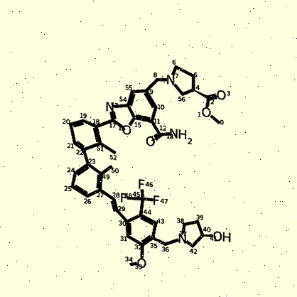 COC(=O)[C@@H]1CCN(Cc2cc(C(N)=O)c3oc(-c4cccc(-c5cccc(/C=C/c6cc(OC)c(CN7CC[C@@H](O)C7)cc6C(F)(F)F)c5C)c4C)nc3c2)C1